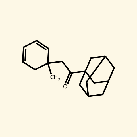 [CH2]C1(CC(=O)C23CC4CC(CC(C4)C2)C3)C=CC=CC1